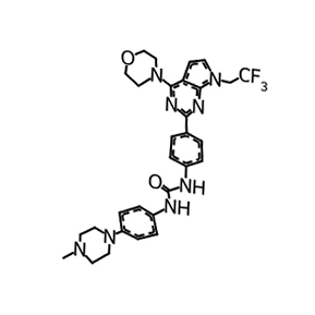 CN1CCN(c2ccc(NC(=O)Nc3ccc(-c4nc(N5CCOCC5)c5ccn(CC(F)(F)F)c5n4)cc3)cc2)CC1